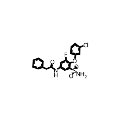 NS(=O)(=O)c1cc(NC(=O)Cc2ccccc2)cc(F)c1Oc1cccc(Cl)c1